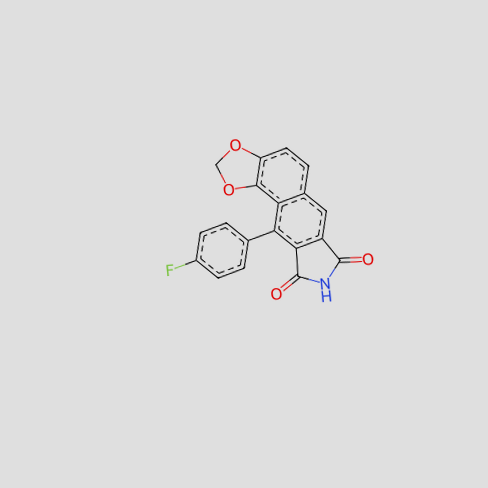 O=C1NC(=O)c2c1cc1ccc3c(c1c2-c1ccc(F)cc1)OCO3